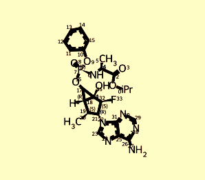 CC(C)OC(=O)[C@H](C)N[P@@](=O)(Oc1ccccc1)OC1[C@H]2[C@H](C)[C@@H](n3cnc4c(N)ncnc43)[C@H](F)[C@@]12O